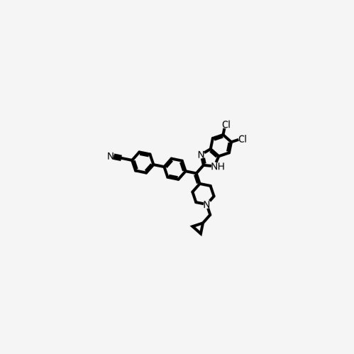 N#Cc1ccc(-c2ccc(C(=C3CCN(CC4CC4)CC3)c3nc4cc(Cl)c(Cl)cc4[nH]3)cc2)cc1